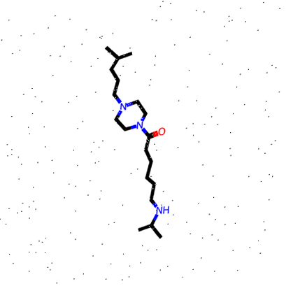 CC(C)CCCN1CCN(C(=O)CCCCCNC(C)C)CC1